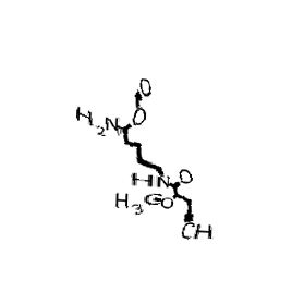 C#CCC(OC)C(=O)NCCCC[C@H](N)OC=O